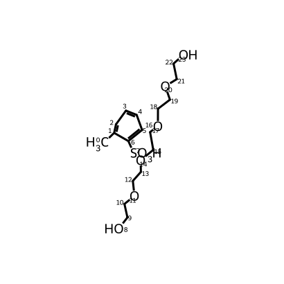 Cc1ccccc1S(=O)(=O)O.OCCOCCOCCOCCOCCO